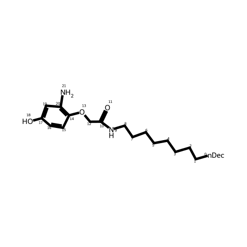 CCCCCCCCCCCCCCCCCCNC(=O)COc1ccc(O)cc1N